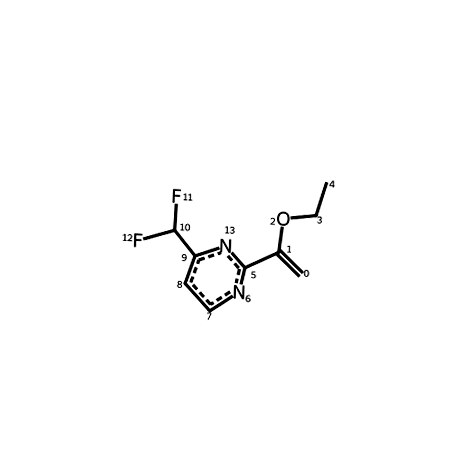 C=C(OCC)c1nccc(C(F)F)n1